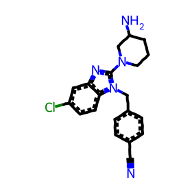 N#Cc1ccc(Cn2c(N3CCCC(N)C3)nc3cc(Cl)ccc32)cc1